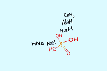 O=P(O)(O)O.[CaH2].[NaH].[NaH].[NaH].[NaH]